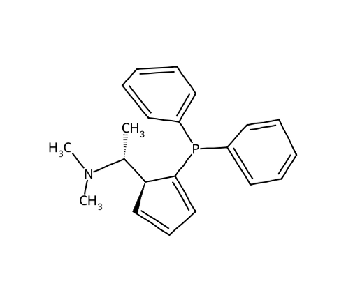 C[C@H]([C@@H]1C=CC=C1P(c1ccccc1)c1ccccc1)N(C)C